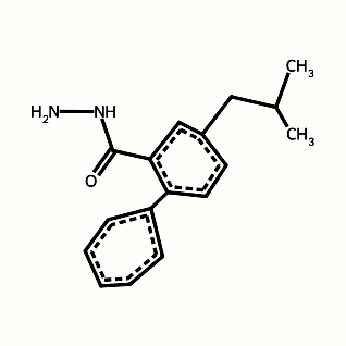 CC(C)Cc1ccc(-c2ccccc2)c(C(=O)NN)c1